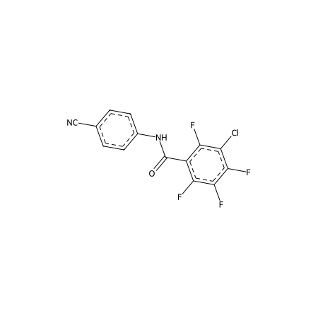 N#Cc1ccc(NC(=O)c2c(F)c(F)c(F)c(Cl)c2F)cc1